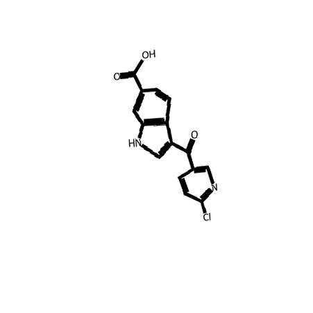 O=C(O)c1ccc2c(C(=O)c3ccc(Cl)nc3)c[nH]c2c1